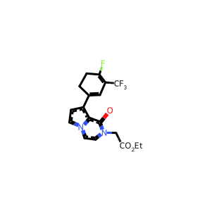 CCOC(=O)Cn1ccn2ccc(C3=CC(C(F)(F)F)=C(F)CC3)c2c1=O